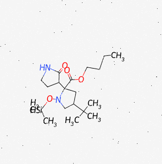 CCCCOC(=O)C1(C2CCNC2=O)CC(C(C)(C)C)CN1O[SiH](C)C